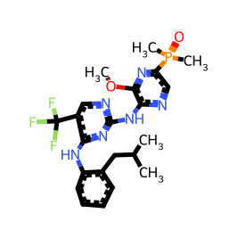 COc1nc(P(C)(C)=O)cnc1Nc1ncc(C(F)(F)F)c(Nc2ccccc2CC(C)C)n1